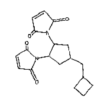 O=C1C=CC(=O)N1C1CC(CC2CCC2)CC1N1C(=O)C=CC1=O